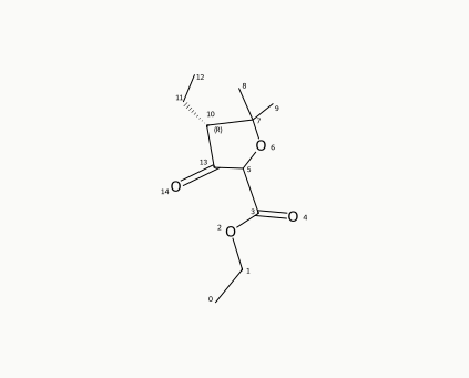 CCOC(=O)C1OC(C)(C)[C@@H](CC)C1=O